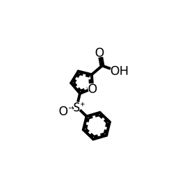 O=C(O)c1ccc([S+]([O-])c2ccccc2)o1